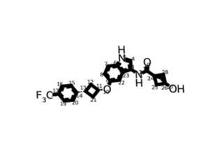 O=C(Nc1c[nH]c2ccc(O[C@H]3C[C@@H](c4ccc(C(F)(F)F)cc4)C3)cc12)C12CC(O)(C1)C2